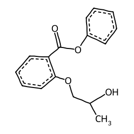 CC(O)COc1ccccc1C(=O)Oc1ccccc1